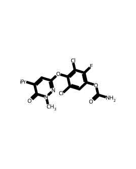 CC(C)c1cc(Oc2c(Cl)cc(OC(N)=O)c(F)c2Cl)nn(C)c1=O